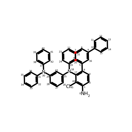 Nc1ccc(-c2cccc(-c3ccccc3)c2)c(N(c2ccccc2)c2cccc(N(c3ccccc3)c3ccccc3)c2)c1Cl